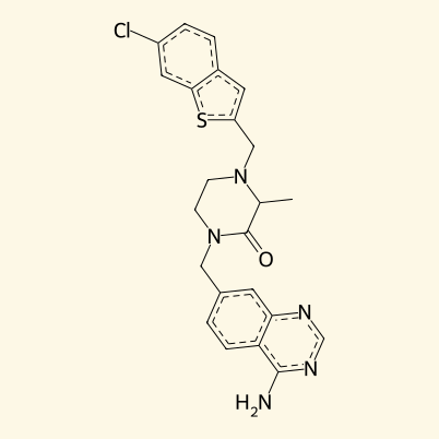 CC1C(=O)N(Cc2ccc3c(N)ncnc3c2)CCN1Cc1cc2ccc(Cl)cc2s1